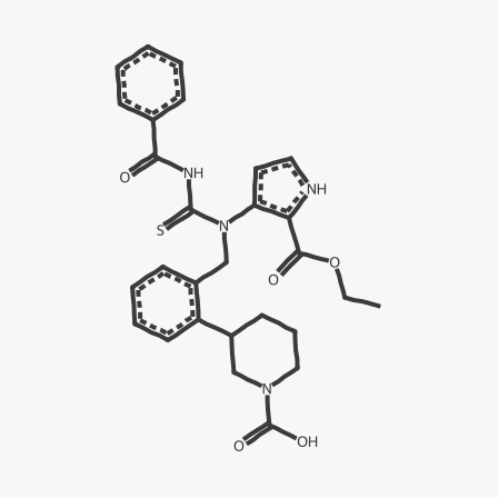 CCOC(=O)c1[nH]ccc1N(Cc1ccccc1C1CCCN(C(=O)O)C1)C(=S)NC(=O)c1ccccc1